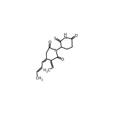 C/C=C/C=C1/CC(=O)N(C2CCC(=O)NC2=S)C(=O)/C1=C/C